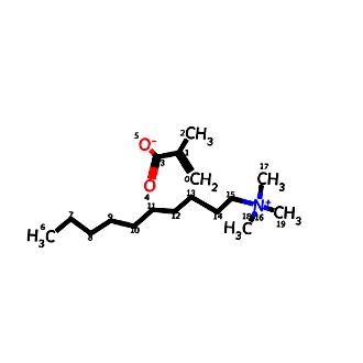 C=C(C)C(=O)[O-].CCCCCCCCCC[N+](C)(C)C